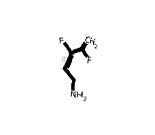 C=C(F)/C(F)=C\CN